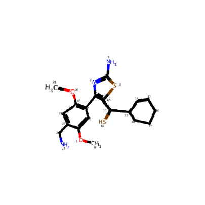 COc1cc(-c2nc(N)sc2C(S)C2CCCCC2)c(OC)cc1CN